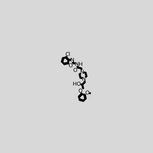 COc1ccccc1OCC(O)CN1CCN(CC(=O)Nc2nc3c(Cl)cccc3o2)CC1